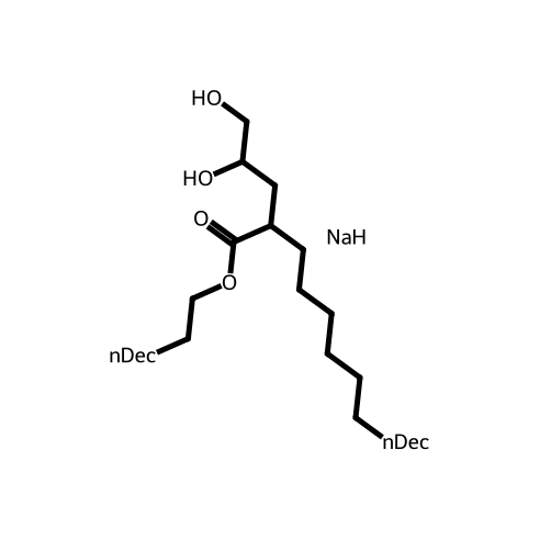 CCCCCCCCCCCCCCCCC(CC(O)CO)C(=O)OCCCCCCCCCCCC.[NaH]